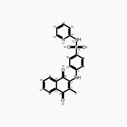 CC1=C(Nc2ccc(S(=O)(=O)Nc3ccccn3)cc2)C(=O)c2ccccc2C1=O